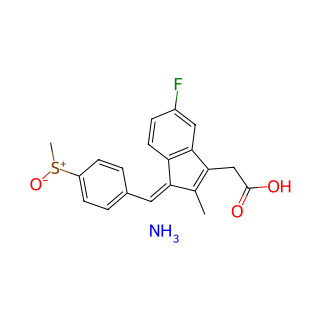 CC1=C(CC(=O)O)c2cc(F)ccc2/C1=C\c1ccc([S+](C)[O-])cc1.N